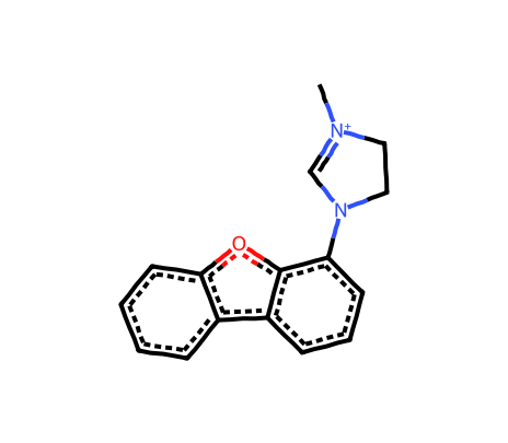 C[N+]1=CN(c2cccc3c2oc2ccccc23)CC1